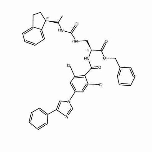 CC(NC(=O)NC[C@H](NC(=O)c1c(Cl)cc(-n2cnc(-c3ccccc3)c2)cc1Cl)C(=O)OCc1ccccc1)[C@@H]1CCc2ccccc21